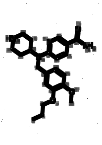 CCCOc1cc(CN(c2ccc(C(N)=O)cn2)C2CCNCC2)ccc1OC